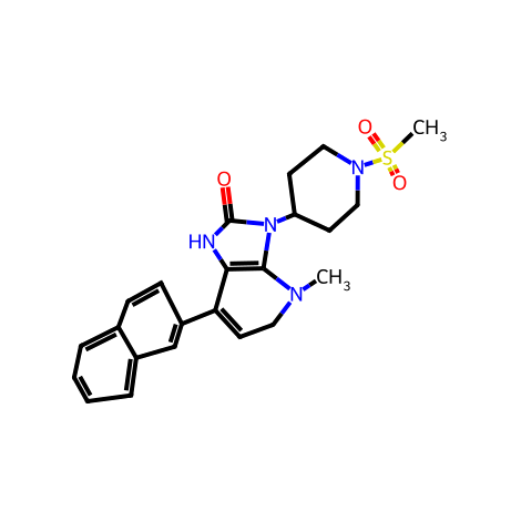 CN1CC=C(c2ccc3ccccc3c2)c2[nH]c(=O)n(C3CCN(S(C)(=O)=O)CC3)c21